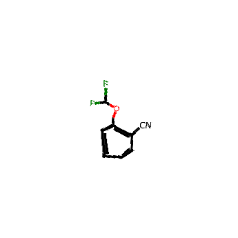 N#Cc1[c]cccc1OC(F)F